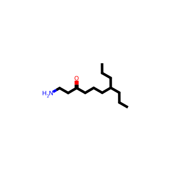 CCCC(CCC)CCCC(=O)CCN